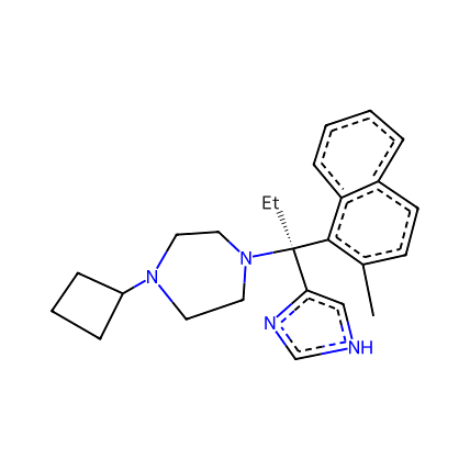 CC[C@@](c1c[nH]cn1)(c1c(C)ccc2ccccc12)N1CCN(C2CCC2)CC1